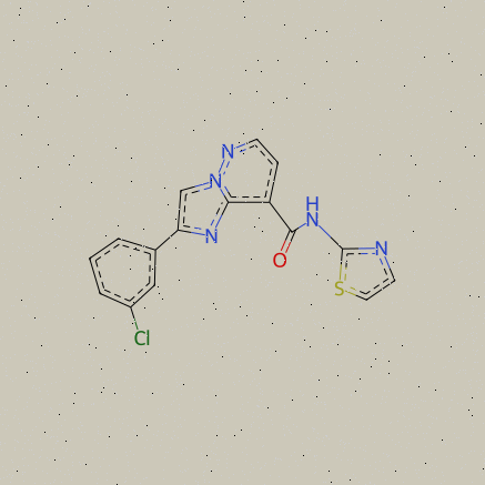 O=C(Nc1nccs1)c1ccnn2cc(-c3cccc(Cl)c3)nc12